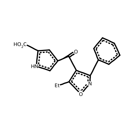 CCc1onc(-c2ccccc2)c1C(=O)c1c[nH]c(C(=O)O)c1